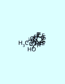 CCS(=O)(=O)N(CCO)C1(F)C(F)(F)C(F)(F)C(F)(F)C(F)(F)C1(F)F